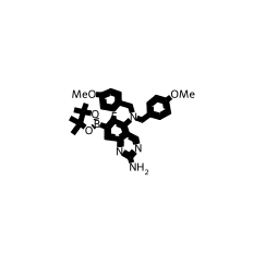 COc1ccc(CN(Cc2ccc(OC)cc2)c2c(F)c(B3OC(C)(C)C(C)(C)O3)cc3nc(N)ncc23)cc1